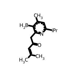 Bc1c(C)cc(C(C)C)nc1CC(=O)C=C(C)C